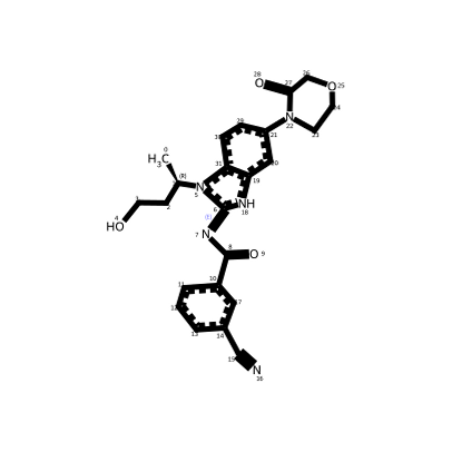 C[C@H](CCO)n1/c(=N/C(=O)c2cccc(C#N)c2)[nH]c2cc(N3CCOCC3=O)ccc21